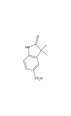 CC1(C)C(=O)Nc2ccc(C(=O)O)cc21